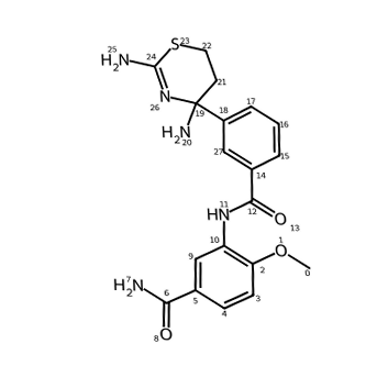 COc1ccc(C(N)=O)cc1NC(=O)c1cccc(C2(N)CCSC(N)=N2)c1